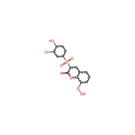 O=c1oc2c(OO)cccc2cc1S(=O)(=O)c1ccc(O)c(Cl)c1